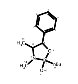 CCCC[B-]1(O)OC(c2ccccc2)C(C)N1C